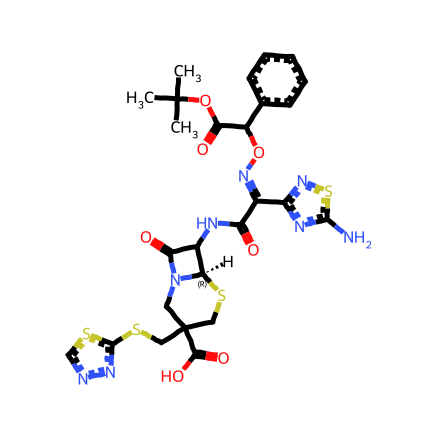 CC(C)(C)OC(=O)C(ON=C(C(=O)NC1C(=O)N2CC(CSc3nncs3)(C(=O)O)CS[C@H]12)c1nsc(N)n1)c1ccccc1